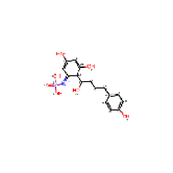 O=P(O)(O)/N=C1\C=C(O)C=C(O)C1C(O)CCCc1ccc(O)cc1